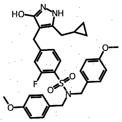 COc1ccc(CN(Cc2ccc(OC)cc2)S(=O)(=O)c2ccc(Cc3c(O)n[nH]c3CC3CC3)cc2F)cc1